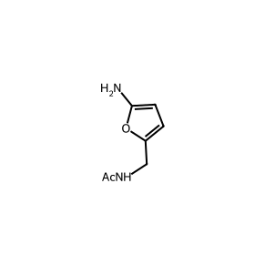 CC(=O)NCc1ccc(N)o1